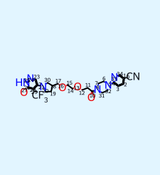 N#Cc1ccc(N2CCN(C(=O)CCOCCOCC3CCN(c4cn[nH]c(=O)c4C(F)(F)F)C3)CC2)nc1